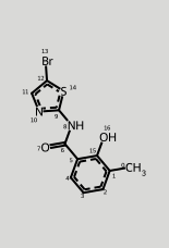 Cc1cccc(C(=O)Nc2ncc(Br)s2)c1O